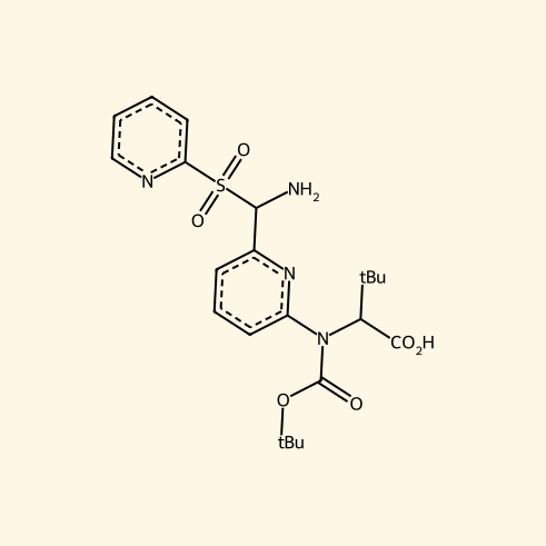 CC(C)(C)OC(=O)N(c1cccc(C(N)S(=O)(=O)c2ccccn2)n1)C(C(=O)O)C(C)(C)C